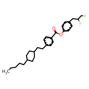 CCCCCC1CCC(CCc2ccc(C(=O)Oc3ccc(CC(F)CF)cc3)cc2)CC1